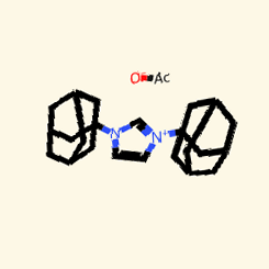 CC(=O)[O-].c1c[n+](C23CC4CC(CC(C4)C2)C3)cn1C12CC3CC(CC(C3)C1)C2